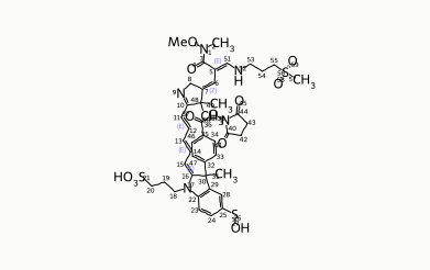 CON(C)C(=O)C(/C=C1\CN=C(/C=C/C=C/C=C2/N(CCCS(=O)(=O)O)c3ccc(SO)cc3C2(C)c2ccc(C(=O)ON3C(=O)CCC3=O)cc2)C1(C)C)=C/NCCCS(C)(=O)=O